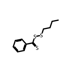 CCCCSSC(=S)c1ccccc1